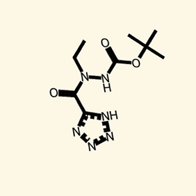 CCN(NC(=O)OC(C)(C)C)C(=O)c1nnn[nH]1